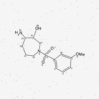 COc1cccc(S(=O)(=O)N2CCCC(N)C(O)C2)c1